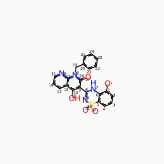 [O]c1cccc2c1NC(c1c(O)c3cccnc3n(Cc3ccccc3)c1=O)=NS2(=O)=O